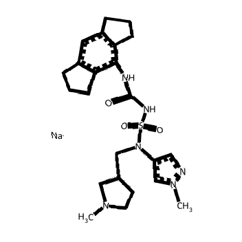 CN1CCC(CN(c2cnn(C)c2)S(=O)(=O)NC(=O)Nc2c3c(cc4c2CCC4)CCC3)C1.[Na]